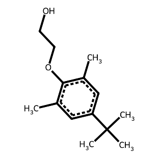 Cc1cc(C(C)(C)C)cc(C)c1OCCO